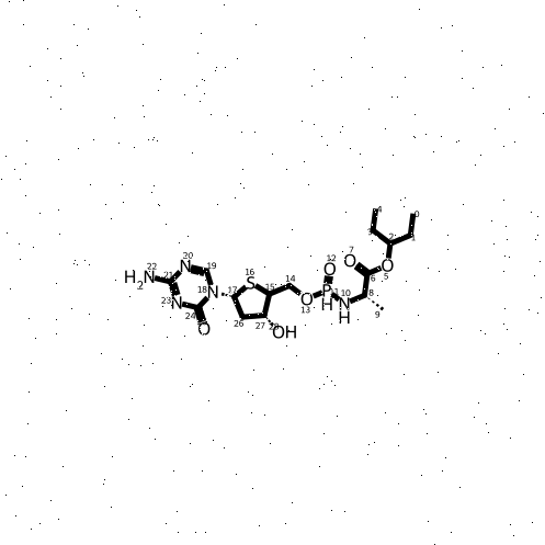 CCC(CC)OC(=O)[C@H](C)N[PH](=O)OCC1S[C@@H](n2cnc(N)nc2=O)C[C@H]1O